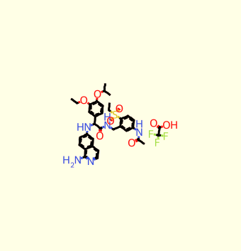 CCOc1cc(C(Nc2ccc3c(N)nccc3c2)C(=O)NCc2cc(NC(C)=O)ccc2S(=O)(=O)CC)ccc1OC(C)C.O=C(O)C(F)(F)F